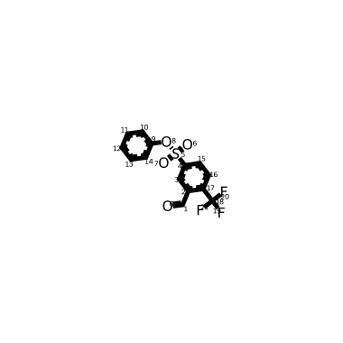 O=Cc1cc(S(=O)(=O)Oc2ccccc2)ccc1C(F)(F)F